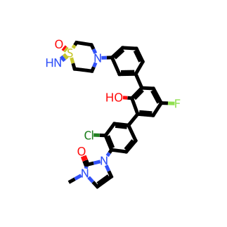 Cn1ccn(-c2ccc(-c3cc(F)cc(-c4cccc(N5CCS(=N)(=O)CC5)c4)c3O)cc2Cl)c1=O